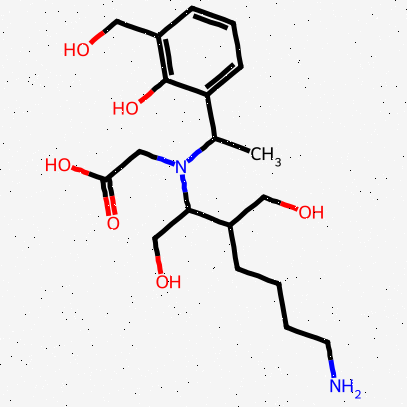 CC(c1cccc(CO)c1O)N(CC(=O)O)C(CO)C(CO)CCCCN